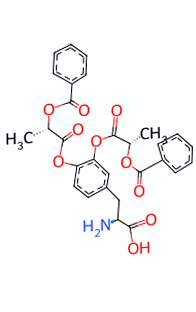 C[C@H](OC(=O)c1ccccc1)C(=O)Oc1ccc(C[C@H](N)C(=O)O)cc1OC(=O)[C@H](C)OC(=O)c1ccccc1